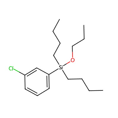 CCCC[Si](CCCC)(OCCC)c1cccc(Cl)c1